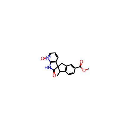 COC(=O)c1ccc2c(c1)CC1(C(=O)Nc3c1ccc[n+]3[O-])C2C